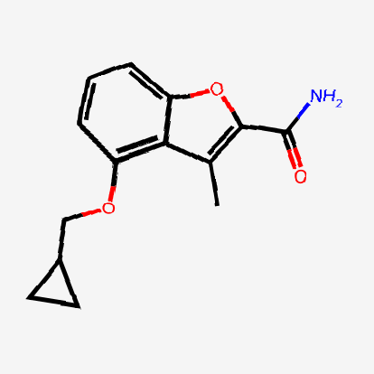 Cc1c(C(N)=O)oc2cccc(OCC3CC3)c12